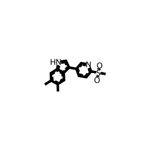 Cc1cc2[nH]cc(-c3ccc(S(C)(=O)=O)nc3)c2cc1C